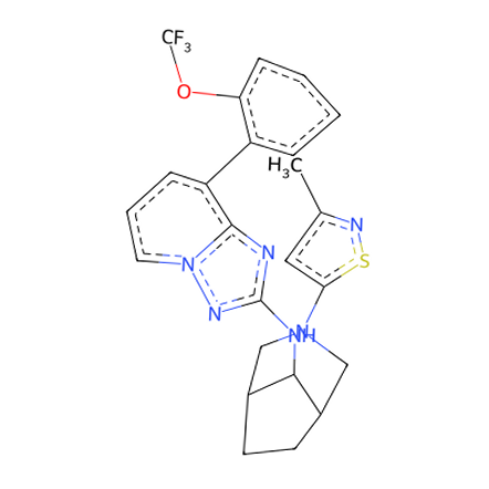 Cc1cc(N2CC3CCC(C2)C3Nc2nc3c(-c4ccccc4OC(F)(F)F)cccn3n2)sn1